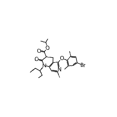 CCC(CC)N1C(=O)C(C(=O)OC(C)C)Cc2c1cc(C)nc2Oc1c(C)cc(Br)cc1C